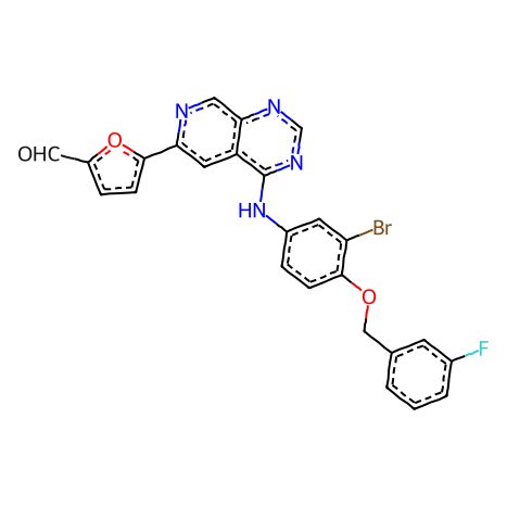 O=Cc1ccc(-c2cc3c(Nc4ccc(OCc5cccc(F)c5)c(Br)c4)ncnc3cn2)o1